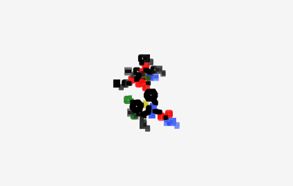 CCOC(=O)[C@H](C)NP(=O)(COc1ccc(Cn2c(COC(N)=O)nc(C(C)C)c2Sc2cc(Cl)cc(Cl)c2)cc1)N[C@@H](C)C(=O)OCC